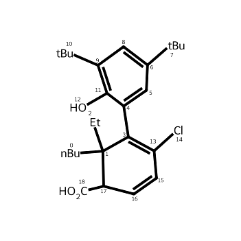 CCCCC1(CC)C(c2cc(C(C)(C)C)cc(C(C)(C)C)c2O)=C(Cl)C=CC1C(=O)O